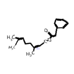 CC(C)=CCC/C(C)=C\COC(=O)Cc1ccccc1